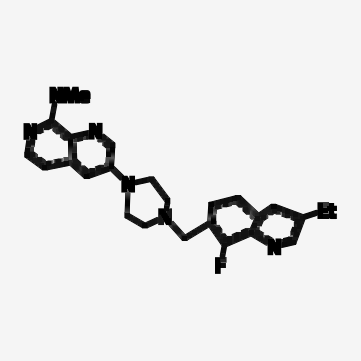 CCc1cnc2c(F)c(CN3CCN(c4cnc5c(NC)nccc5c4)CC3)ccc2c1